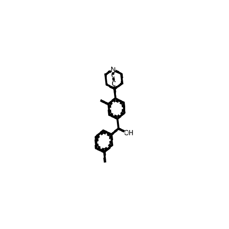 Cc1cccc(C(O)c2ccc(C34CCN(CC3)CC4)c(C)c2)c1